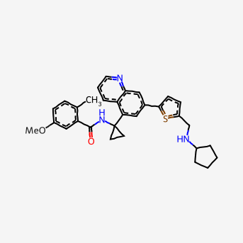 COc1ccc(C)c(C(=O)NC2(c3cc(-c4ccc(CNC5CCCC5)s4)cc4ncccc34)CC2)c1